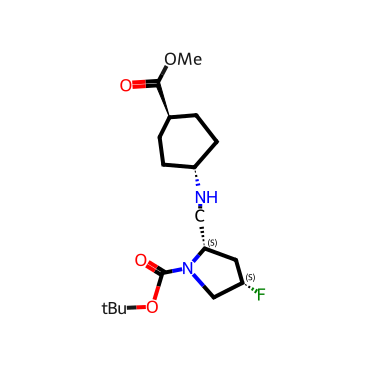 COC(=O)[C@H]1CC[C@H](NC[C@@H]2C[C@H](F)CN2C(=O)OC(C)(C)C)CC1